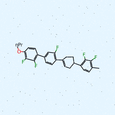 CCCOc1ccc(-c2ccc(C3=CCC(c4ccc(C)c(F)c4F)CC3)c(F)c2)c(F)c1F